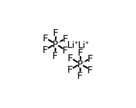 F[P-](F)(F)(F)(F)F.F[P-](F)(F)(F)(F)F.[Li+].[Li+]